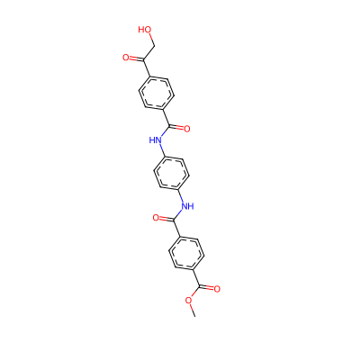 COC(=O)c1ccc(C(=O)Nc2ccc(NC(=O)c3ccc(C(=O)CO)cc3)cc2)cc1